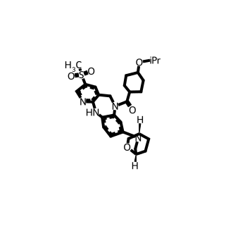 CC(C)OC1CCC(C(=O)N2Cc3cc(S(C)(=O)=O)cnc3Nc3ccc(N4C[C@@H]5CC[C@H]4CO5)cc32)CC1